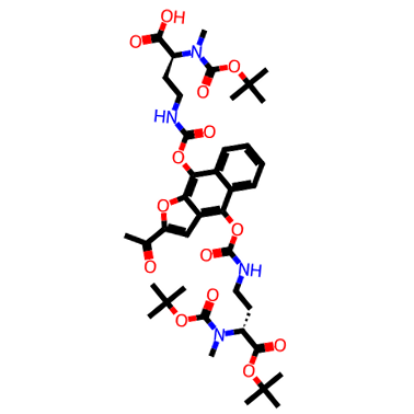 CC(=O)c1cc2c(OC(=O)NCC[C@H](C(=O)OC(C)(C)C)N(C)C(=O)OC(C)(C)C)c3ccccc3c(OC(=O)NCC[C@@H](C(=O)O)N(C)C(=O)OC(C)(C)C)c2o1